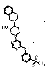 CS(=O)(=O)c1cccc(Nc2cc(N3CCC(N4CCc5ccccc5C4)[C@@H](O)C3)ncn2)c1